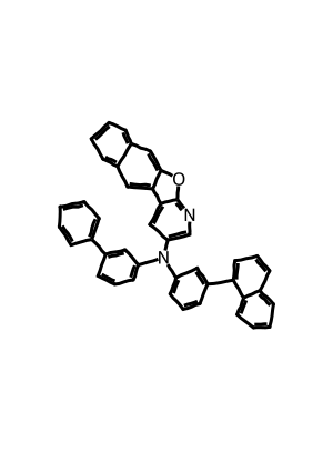 c1ccc(-c2cccc(N(c3cccc(-c4cccc5ccccc45)c3)c3cnc4oc5cc6ccccc6cc5c4c3)c2)cc1